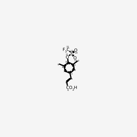 Cc1cc(C=CC(=O)O)cc(C)c1OS(=O)(=O)C(F)(F)F